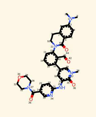 CN(C)c1ccc2c(c1)CCN(c1cccc(-c3cc(Nc4ccc(C(=O)N5CCOCC5)cn4)c(=O)n(C)c3)c1C=O)C2=O